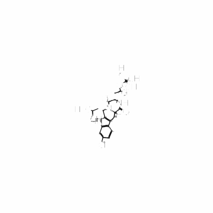 CC(C)C[C@H]1c2[nH]c3cc(Cl)ccc3c2C[C@H]2C(=O)N[C@@H](CC(=O)OC(C)(C)C)C(=O)N21